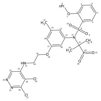 CCCOc1ccccc1S(=O)(=O)N(c1cc(C)cc(OCCNc2cnnc(Cl)c2Cl)c1)C(C)(C)P(=O)=O